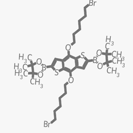 CC1(C)OB(c2cc3c(OCCCCCCBr)c4sc(B5OC(C)(C)C(C)(C)O5)cc4c(OCCCCCCBr)c3s2)OC1(C)C